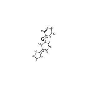 [C]1CCC(c2cccc(Oc3ccccc3)c2)C1